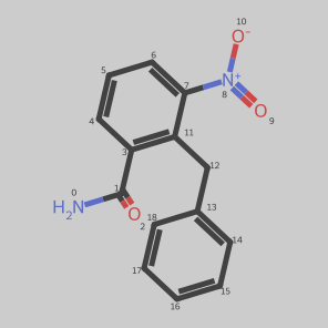 NC(=O)c1cccc([N+](=O)[O-])c1Cc1ccccc1